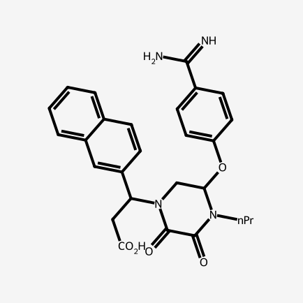 CCCN1C(=O)C(=O)N(C(CC(=O)O)c2ccc3ccccc3c2)CC1Oc1ccc(C(=N)N)cc1